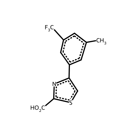 Cc1cc(-c2csc(C(=O)O)n2)cc(C(F)(F)F)c1